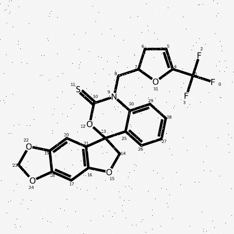 FC(F)(F)C1=CCC(CN2C(=S)OC3(COc4cc5c(cc43)OCO5)c3ccccc32)O1